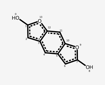 Oc1cc2cc3cc(O)oc3cc2o1